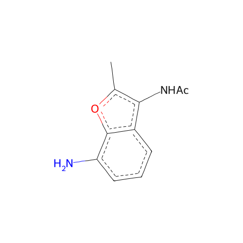 CC(=O)Nc1c(C)oc2c(N)cccc12